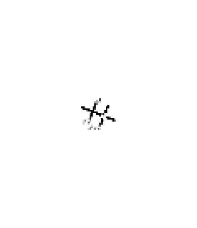 CCC(C)(CC)[Si](C)(C)OC